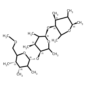 COCC1O[C@H](O[C@@H]2C(C)O[C@H](O[C@@H]3C(C)O[C@H](C)C(C)[C@@H]3C)C(C)[C@@H]2C)C(C)[C@H](C)[C@@H]1C